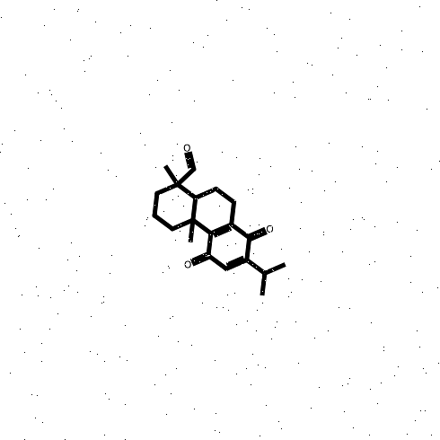 CC(C)C1=CC(=O)C2=C(CCC3C(C)(C=O)CCCC23C)C1=O